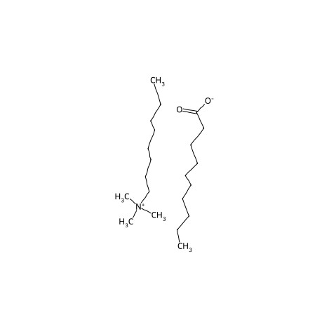 CCCCCCCCCC(=O)[O-].CCCCCCCC[N+](C)(C)C